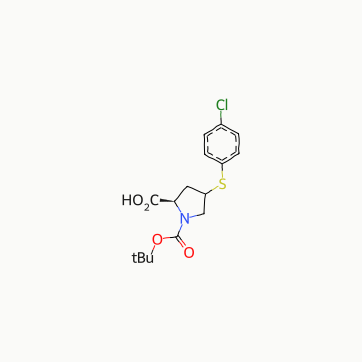 CC(C)(C)OC(=O)N1CC(Sc2ccc(Cl)cc2)C[C@@H]1C(=O)O